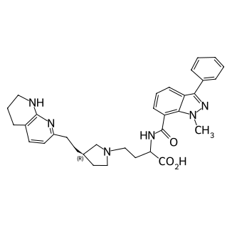 Cn1nc(-c2ccccc2)c2cccc(C(=O)NC(CCN3CC[C@@H](CCc4ccc5c(n4)NCCC5)C3)C(=O)O)c21